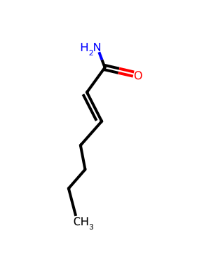 CCCCC=CC(N)=O